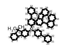 CC1(C)c2ccccc2-c2ccc(N(c3ccc(-c4ccccc4)cc3)c3ccc(-c4ccccc4-n4c5ccccc5c5c(-c6cccc7ccccc67)cccc54)cc3)cc21